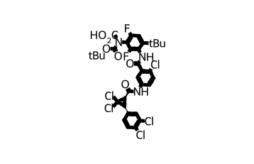 CC(C)(C)OC(=O)N(C(=O)O)c1c(F)cc(C(C)(C)C)c(NC(=O)c2cc(NC(=O)[C@H]3[C@H](c4ccc(Cl)c(Cl)c4)C3(Cl)Cl)ccc2Cl)c1F